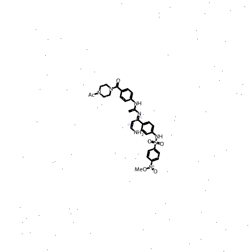 C=C(/N=C(\C=C/N)c1ccc(NS(=O)(=O)c2ccc([N+](=O)OC)cc2)cc1)Nc1ccc(C(=O)N2CCN(C(C)=O)CC2)cc1